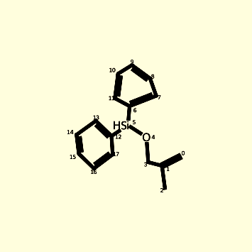 C=C(C)CO[SiH](c1ccccc1)c1ccccc1